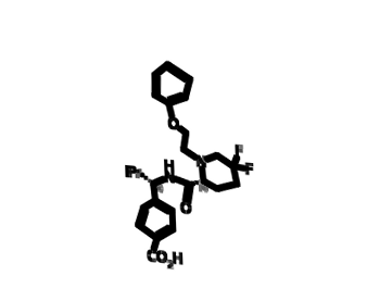 CC(C)[C@H](NC(=O)[C@H]1CCC(F)(F)CN1CCOc1ccccc1)c1ccc(C(=O)O)cc1